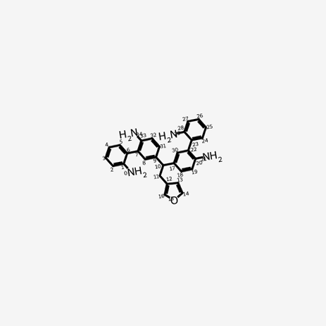 Nc1ccccc1-c1cc(C(Cc2ccoc2)c2ccc(N)c(-c3ccccc3N)c2)ccc1N